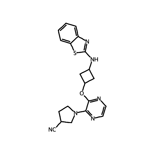 N#CC1CCN(c2nccnc2OC2CC(Nc3nc4ccccc4s3)C2)C1